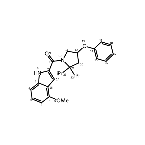 COc1cccc2[nH]c(C(=O)N3CC(Oc4ccccc4)CC3(C(C)C)C(C)C)cc12